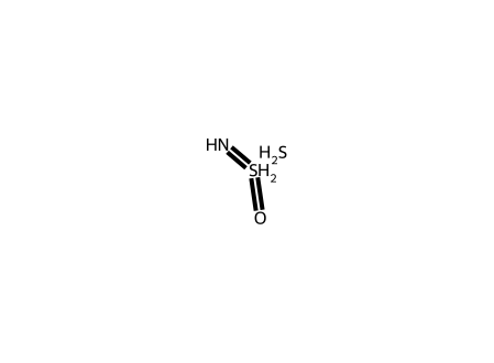 N=[SH2]=O.S